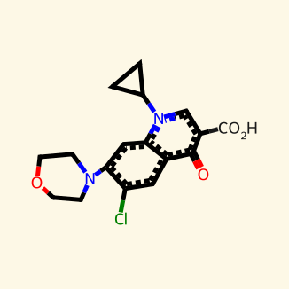 O=C(O)c1cn(C2CC2)c2cc(N3CCOCC3)c(Cl)cc2c1=O